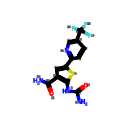 NC(=O)Nc1sc(-c2ccc(C(F)(F)F)cn2)cc1C(N)=O